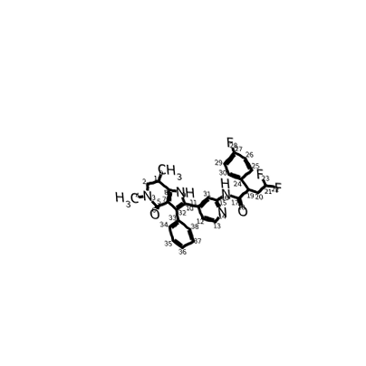 CC1CN(C)C(=O)c2c1[nH]c(-c1ccnc(NC(=O)C(CC(F)F)c3ccc(F)cc3)c1)c2-c1ccccc1